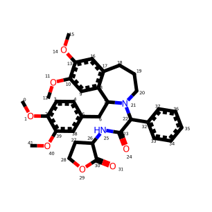 COc1ccc(CC2c3cc(OC)c(OC)cc3CCCN2C(C(=O)NC2CCOC2=O)c2ccccc2)cc1OC